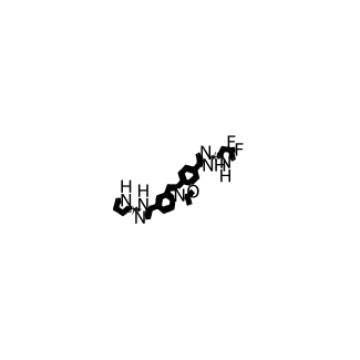 CC1Oc2cc(-c3cnc([C@@H]4CC(F)(F)CN4)[nH]3)ccc2-c2cc3cc(-c4cnc([C@@H]5CCCN5)[nH]4)ccc3n21